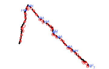 C=C(COCC(=O)NCCOCCOCCOCCCC(=O)COCC(=O)CCCOCCOCCOCCC)NCCOCCOCCOCCNC(=O)COCC(=O)NCCOCCOCCOCCNC(=O)COCC(=O)NCCOCCOCCOCCNC(=O)COCC(=O)NCCOCCOCCOCCCC(=O)COCC(N)=O